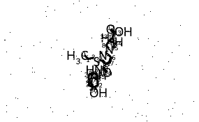 CCCSc1nc(N2C[C@@H]3C(C(=O)O)[C@@H]3C2)ccc1C(=O)N[C@H]1C2CC3CC1C[C@@](O)(C3)C2